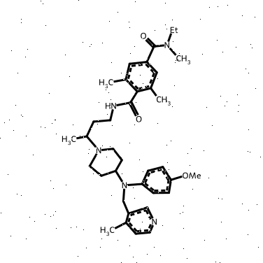 CCN(C)C(=O)c1cc(C)c(C(=O)NCCC(C)N2CCC(N(Cc3cnccc3C)c3ccc(OC)cc3)CC2)c(C)c1